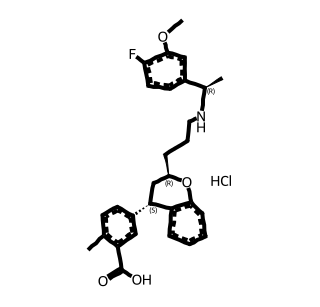 COc1cc([C@@H](C)NCCC[C@@H]2C[C@@H](c3ccc(C)c(C(=O)O)c3)c3ccccc3O2)ccc1F.Cl